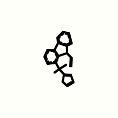 C=CC1c2ccccc2-c2cccc(C(C)(C)C3=CC=CC3)c21